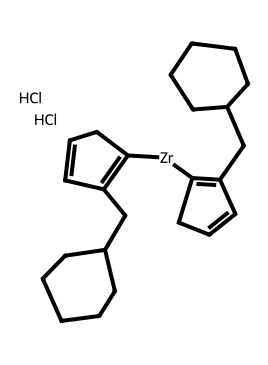 C1=CC(CC2CCCCC2)=[C]([Zr][C]2=C(CC3CCCCC3)C=CC2)C1.Cl.Cl